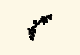 Cc1nc(CN(C)C)nn1CCC(=O)CCn1nc(CN(C)C)nc1C